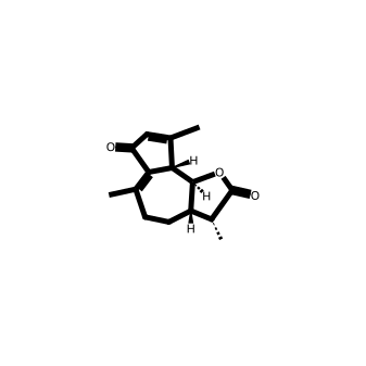 CC1=CC(=O)C2=C(C)CC[C@@H]3[C@H](OC(=O)[C@@H]3C)[C@@H]12